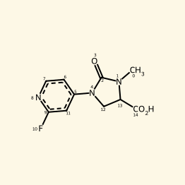 CN1C(=O)N(c2ccnc(F)c2)CC1C(=O)O